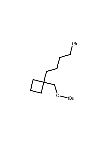 CC(C)(C)CCCCC1(COC(C)(C)C)CCC1